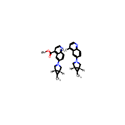 CC(C)(C)OC(=O)c1ccnc2ccc(N3C[C@@H]4C(C(F)(F)F)[C@@H]4C3)cc12.O=C(O)c1ccnc2ccc(N3C[C@@H]4C(C(F)(F)F)[C@@H]4C3)cc12